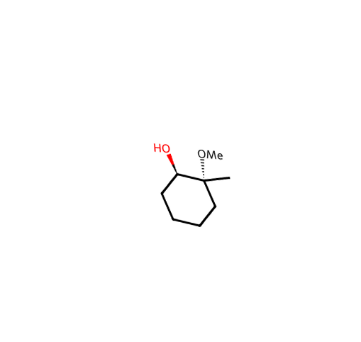 CO[C@]1(C)CCCC[C@H]1O